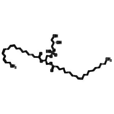 CC/C=C\C/C=C\C/C=C\CCCCCCCC(=O)O[C@H](COC(=O)CCCCCCC/C=C\CCCCCCCCC)COP(=O)(O)OC[C@@H](O)CO